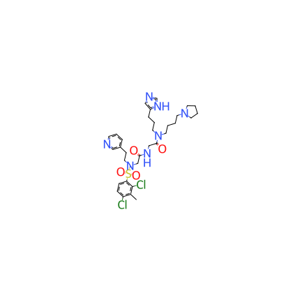 Cc1c(Cl)ccc(S(=O)(=O)N(CCc2cccnc2)CC(=O)NCC(=O)N(CCCCN2CCCC2)CCCc2cnc[nH]2)c1Cl